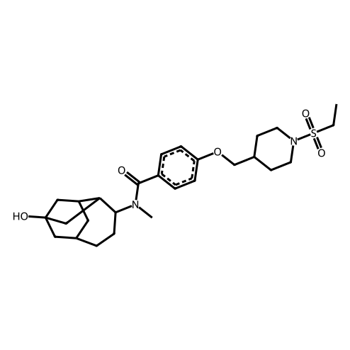 CCS(=O)(=O)N1CCC(COc2ccc(C(=O)N(C)C3CCC4CC5CC(O)(C4)CC53)cc2)CC1